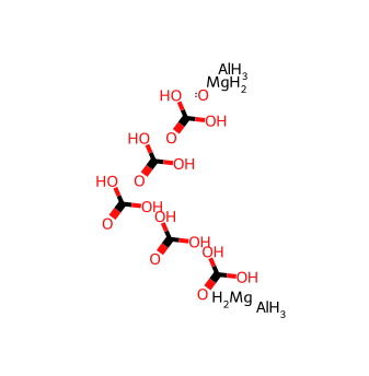 O=C(O)O.O=C(O)O.O=C(O)O.O=C(O)O.O=C(O)O.[AlH3].[AlH3].[MgH2].[MgH2].[O]